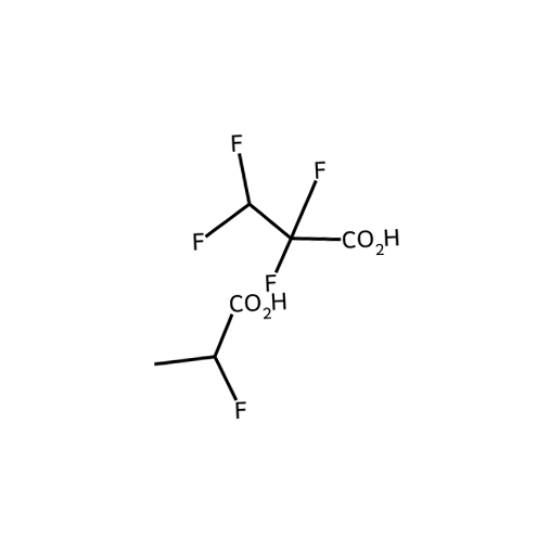 CC(F)C(=O)O.O=C(O)C(F)(F)C(F)F